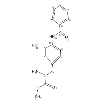 COC(=O)C(N)Cc1ccc(NC(=O)c2cccnc2)cc1.Cl